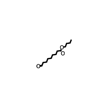 CCCCOC(=O)CCCCCCCC=O